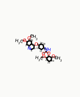 COc1cc2nccc(Oc3ccc(NC(=O)Oc4c(OC)cccc4OC)cc3)c2cc1OC